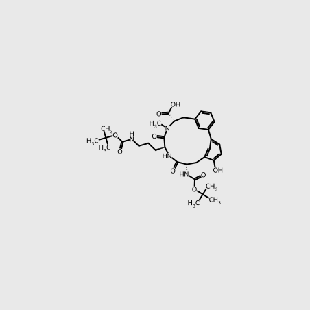 CN1C(=O)[C@H](CCCNC(=O)OC(C)(C)C)NC(=O)[C@@H](NC(=O)OC(C)(C)C)Cc2cc(ccc2O)-c2cccc(c2)C[C@H]1C(=O)O